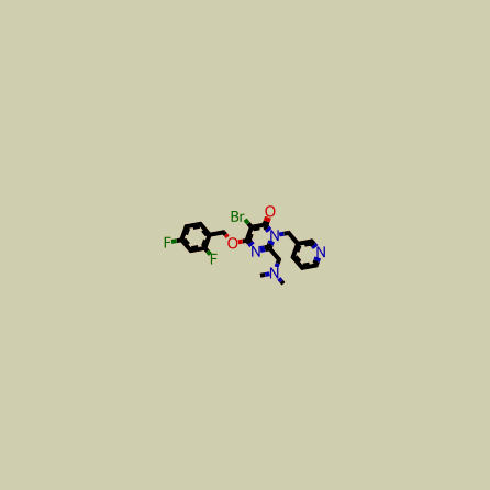 CN(C)Cc1nc(OCc2ccc(F)cc2F)c(Br)c(=O)n1Cc1cccnc1